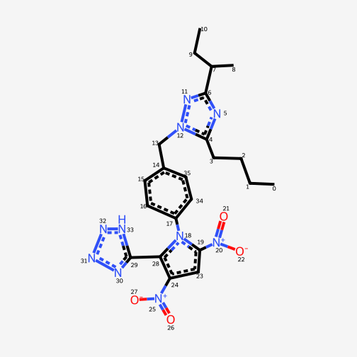 CCCCc1nc(C(C)CC)nn1Cc1ccc(-n2c([N+](=O)[O-])cc([N+](=O)[O-])c2-c2nnn[nH]2)cc1